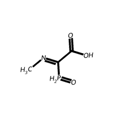 CN=C([PH2]=O)C(=O)O